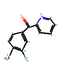 Bc1ccc(C(=O)c2ccccn2)cc1Cl